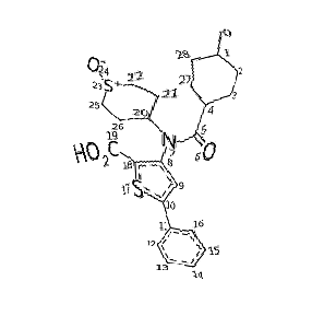 CC1CCC(C(=O)N(c2cc(-c3ccccc3)sc2C(=O)O)C2CC[S+]([O-])CC2)CC1